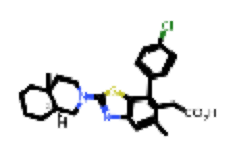 Cc1cc2nc(N3CCC4(C)CCCC[C@@H]4C3)sc2c(-c2ccc(Cl)cc2)c1CC(=O)O